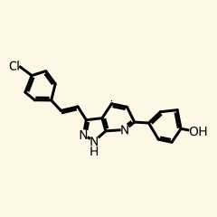 Oc1ccc(-c2c[c]c3c(/C=C/c4ccc(Cl)cc4)n[nH]c3n2)cc1